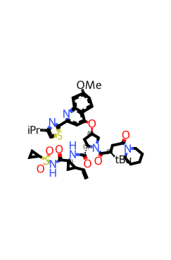 C=CC1C[C@]1(NC(=O)[C@@H]1C[C@@H](Oc2cc(-c3nc(C(C)C)cs3)nc3cc(OC)ccc23)CN1C(=O)[C@@H](CC(=O)N1CCCCC1)C(C)(C)C)C(=O)NS(=O)(=O)C1CC1